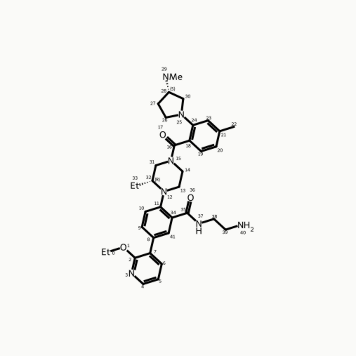 CCOc1ncccc1-c1ccc(N2CCN(C(=O)c3ccc(C)cc3N3CC[C@H](NC)C3)C[C@H]2CC)c(C(=O)NCCN)c1